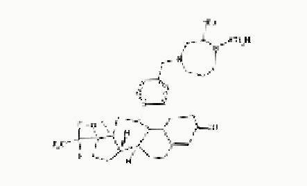 CC(C)(C)C1CN(Cc2ccc([C@H]3C[C@@]4(C)[C@@H](CC[C@@]4(O)C(F)(F)C(F)(F)F)[C@@H]4CCC5=CC(=O)CCC5=C43)cc2)CCCN1C(=O)O